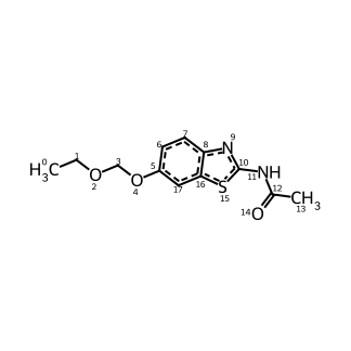 CCOCOc1ccc2nc(NC(C)=O)sc2c1